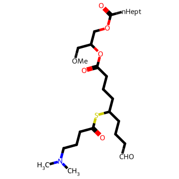 CCCCCCCC(=O)OCC(COC)OC(=O)CCCC(CCCC=O)SC(=O)CCCN(C)C